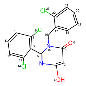 O=c1cc(O)nc(-c2c(Cl)cccc2Cl)n1Cc1ccccc1Cl